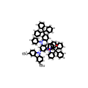 CC(C)(C)c1ccc2c(c1)c1cc(C(C)(C)C)ccc1n2-c1cc2c3c(c1)N(c1ccccc1C(c1ccccc1)(c1ccccc1)c1ccccc1)c1ccccc1B3c1ccc(C(c3ccccc3)(c3ccccc3)c3ccccc3)cc1N2c1ccccc1